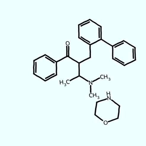 C1COCCN1.CC(C(Cc1ccccc1-c1ccccc1)C(=O)c1ccccc1)N(C)C